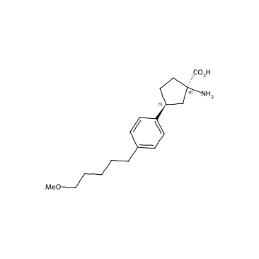 COCCCCCc1ccc([C@H]2CC[C@](N)(C(=O)O)C2)cc1